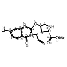 C=CCn1c(O[C@H]2CN[C@H](C(=O)OC)C2)nc2cc(Cl)ccc2c1=O